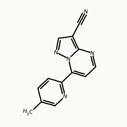 Cc1ccc(-c2ccnc3c(C#N)cnn23)nc1